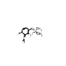 C[Si](C)(C)OC1=CC(=C=O)C(I)C=C1